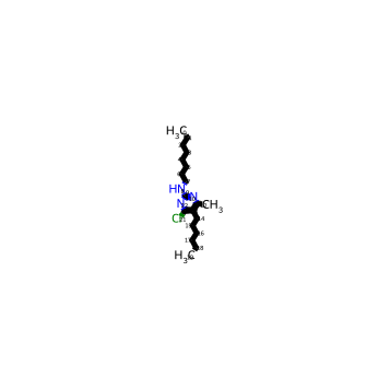 CCCCCCCCNc1nc(C)c(CCCCCC)c(Cl)n1